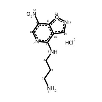 Cl.NCCCNc1ncc([N+](=O)[O-])c2oncc12